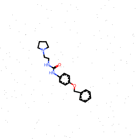 O=C(NCCN1CCCC1)Nc1ccc(OCc2ccccc2)cc1